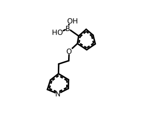 OB(O)c1ccccc1OCCc1ccncc1